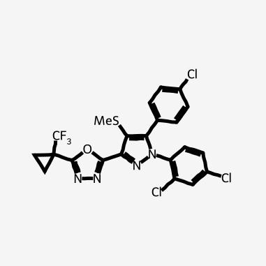 CSc1c(-c2nnc(C3(C(F)(F)F)CC3)o2)nn(-c2ccc(Cl)cc2Cl)c1-c1ccc(Cl)cc1